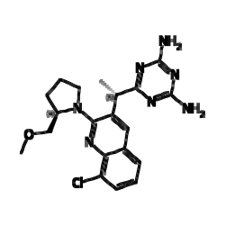 COC[C@H]1CCCN1c1nc2c(Cl)cccc2cc1[C@H](C)c1nc(N)nc(N)n1